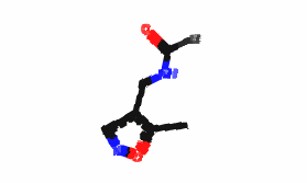 CCC(=O)NCc1cnoc1C